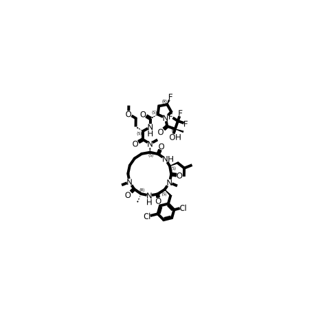 COCC[C@H](NC(=O)[C@@H]1C[C@@H](F)CN1C(=O)[C@@](C)(O)C(F)(F)F)C(=O)N(C)[C@H]1CCCCN(C)C(=O)[C@@H](C)NC(=O)[C@H](Cc2cc(Cl)ccc2Cl)N(C)C(=O)[C@H](CC(C)C)NC1=O